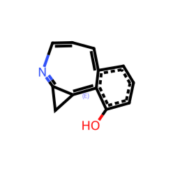 Oc1cccc2/c1=C1/CC1=NC=CC=2